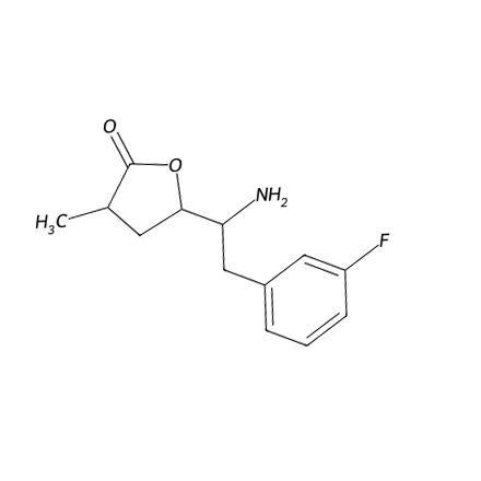 CC1CC(C(N)Cc2cccc(F)c2)OC1=O